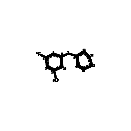 [O]c1cc(F)cc(Cc2ccccc2)c1